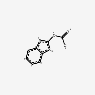 S=C(Cl)Oc1nc2ccccc2s1